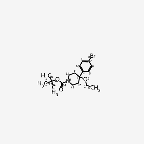 CCOC1(c2ccc(Br)cc2)CCN(C(=O)OC(C)(C)C)CC1